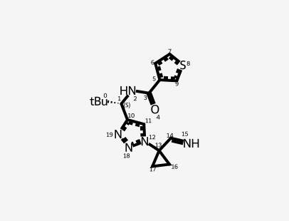 CC(C)(C)[C@H](NC(=O)c1ccsc1)c1cn(C2(C=N)CC2)nn1